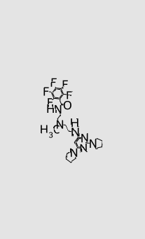 CN(CCNC(=O)c1c(F)c(F)c(F)c(F)c1F)CCNc1cc(N2CCCC2)nc(N2CCCC2)n1